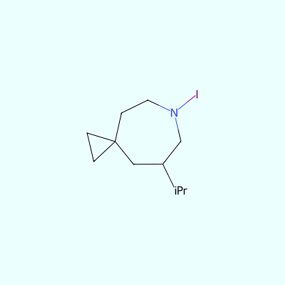 CC(C)C1CN(I)CCC2(CC2)C1